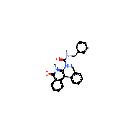 Cc1ccccc1-c1c(NC(=O)N(C)Cc2ccccc2)n(C)c(=O)c2ccccc12